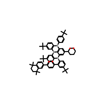 CC(C)(C)c1ccc(N2c3ccc(C(C)(C)C)cc3B3c4cc(C(C)(C)C)ccc4N(c4ccc(C(C)(C)C)cc4-c4ccc(-c5ccc6c(c5)C(C)(C)CCC6(C)C)cc4)c4cc(C56CCC(CC5)CC6)cc2c43)cc1